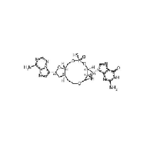 Nc1nc2c(ncn2[C@@H]2OC3OCC[C@H]4C[C@H](c5cnc6c(N)ncnn56)O[C@@H]4COP(=O)(S)O[C@@H]2[C@@H]3F)c(=O)[nH]1